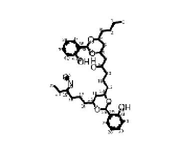 CCCCC1CC(CC(O)CCCC2CC(CCCC(CC)N=O)OC(c3ccccc3O)O2)OC(c2ccccc2O)O1